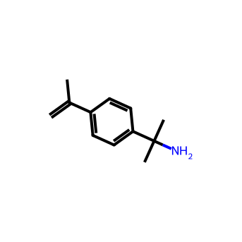 C=C(C)c1ccc(C(C)(C)N)cc1